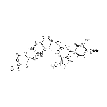 COc1ccc([C@H](NC(=O)Oc2ccc3cnc(N[C@@H]4CCO[C@H](CO)C4)nc3c2)c2cnn(C)c2)cc1F